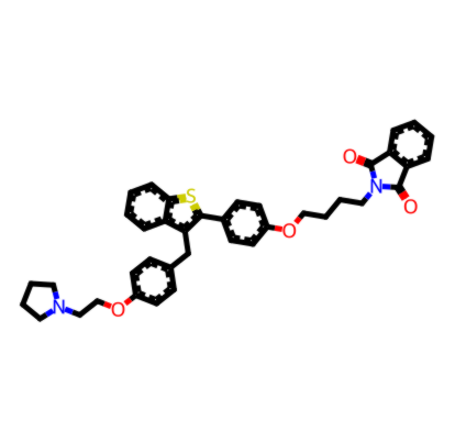 O=C1c2ccccc2C(=O)N1CCCCOc1ccc(-c2sc3ccccc3c2Cc2ccc(OCCN3CCCC3)cc2)cc1